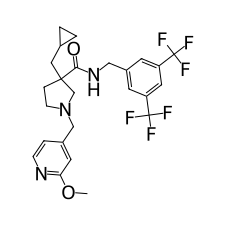 COc1cc(CN2CCC(CC3CC3)(C(=O)NCc3cc(C(F)(F)F)cc(C(F)(F)F)c3)C2)ccn1